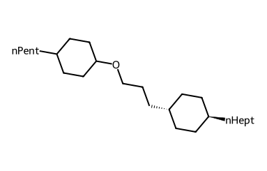 CCCCCCC[C@H]1CC[C@H](CCCOC2CCC(CCCCC)CC2)CC1